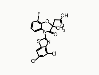 CC1(CC(=O)O)Oc2c(F)cccc2N(c2nc3c(Cl)cc(Cl)cc3s2)C1=O